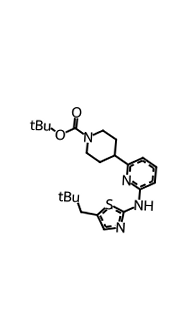 CC(C)(C)Cc1cnc(Nc2cccc(C3CCN(C(=O)OC(C)(C)C)CC3)n2)s1